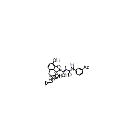 CC(=O)c1cccc(NC(=O)/C(C)=C(\O)[C@@H]2Oc3c(O)ccc4c3[C@@]23CCN(CC2CC2)[C@H](C4)[C@@]3(C)O)c1